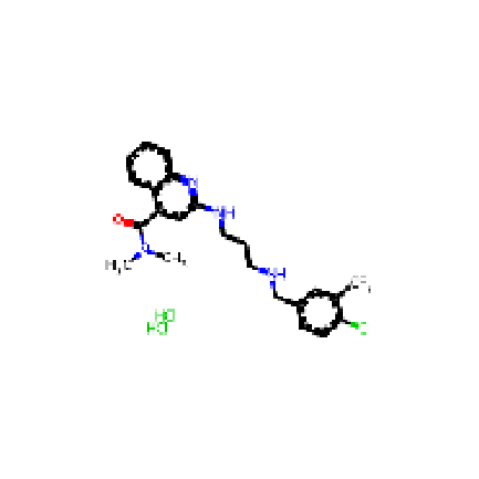 CN(C)C(=O)c1cc(NCCCNCc2ccc(Cl)c(C(F)(F)F)c2)nc2ccccc12.Cl.Cl